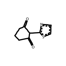 O=C1CCCC(=O)C1c1nccs1